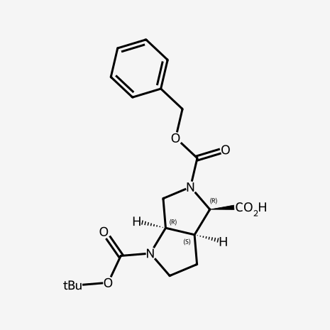 CC(C)(C)OC(=O)N1CC[C@H]2[C@@H]1CN(C(=O)OCc1ccccc1)[C@H]2C(=O)O